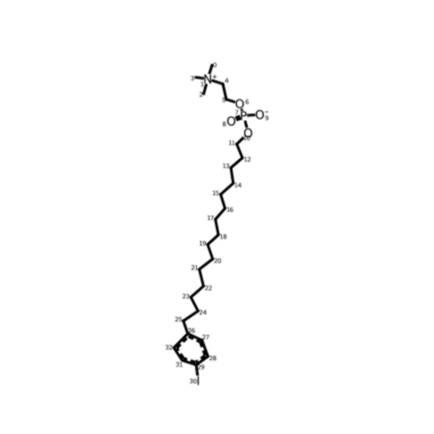 C[N+](C)(C)CCOP(=O)([O-])OCCCCCCCCCCCCCCCc1ccc(I)cc1